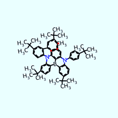 Cc1cc2c3c(c1)N(c1ccc(C(C)(C)C)cc1-c1cccc(C(C)(C)C)c1)c1cc(C(C)(C)C)ccc1B3c1cc(C(C)(C)C)ccc1N2c1ccc(C(C)(C)C)cc1